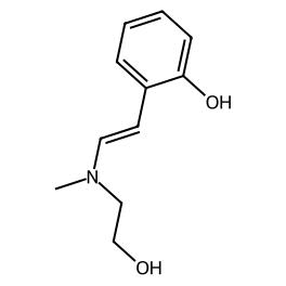 CN(C=Cc1ccccc1O)CCO